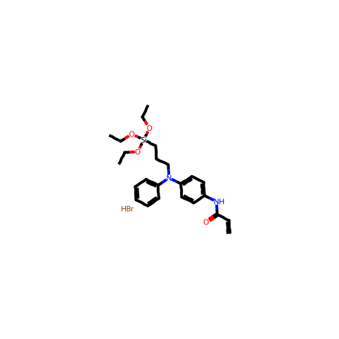 Br.C=CC(=O)Nc1ccc(N(CCC[Si](OCC)(OCC)OCC)c2ccccc2)cc1